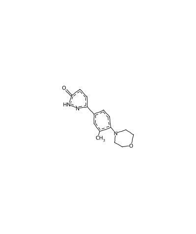 Cc1cc(-c2ccc(=O)[nH]n2)ccc1N1CCOCC1